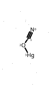 N#C[O][Hg]